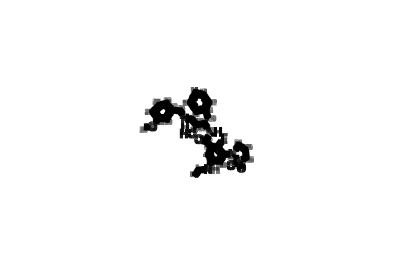 CCNc1cc(C(=O)N[C@@H](Cc2ccccc2)[C@H](O)CNCc2cccc(OC)c2)c(F)c(N2CCCS2(=O)=O)c1